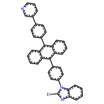 CCc1nc2ccccc2n1-c1ccc(-c2c3ccccc3c(-c3ccc(-c4cccnc4)cc3)c3ccccc23)cc1